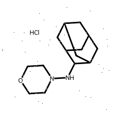 C1CN(NC2C3CC4CC(C3)CC2C4)CCO1.Cl